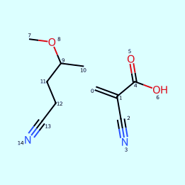 C=C(C#N)C(=O)O.COC(C)CCC#N